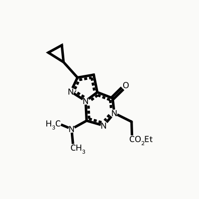 CCOC(=O)Cn1nc(N(C)C)n2nc(C3CC3)cc2c1=O